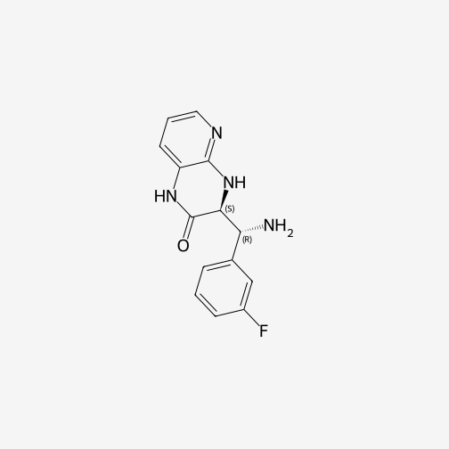 N[C@H](c1cccc(F)c1)[C@@H]1Nc2ncccc2NC1=O